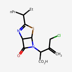 C=C(CCl)C(C(=O)O)N1C(=O)C2N=C(C(CC)CCC)SC21